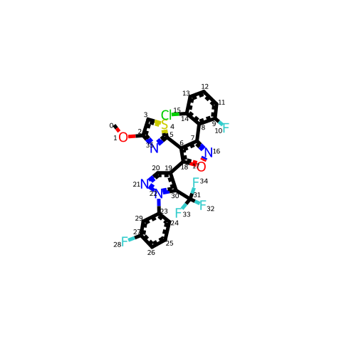 COc1csc(-c2c(-c3c(F)cccc3Cl)noc2-c2cnn(-c3cccc(F)c3)c2C(F)(F)F)n1